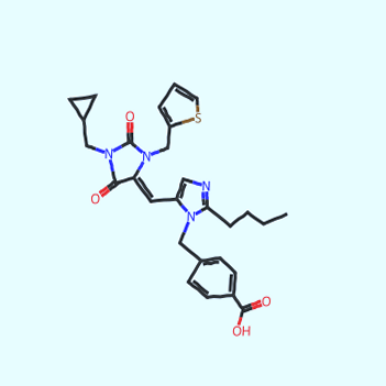 CCCCc1ncc(C=C2C(=O)N(CC3CC3)C(=O)N2Cc2cccs2)n1Cc1ccc(C(=O)O)cc1